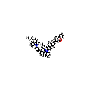 C=C/C=C\c1c(C)n(-c2cccc(-c3ccc(N(c4ccc5c(ccc6cc(-c7ccc8c(c7)oc7ccccc78)ccc65)c4)c4ccccc4-c4ccccc4)cc3)c2)c2ccccc12